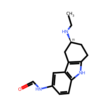 CCN[C@H]1CCc2[nH]c3ccc(NC=O)cc3c2C1